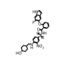 O=C(NS(=O)(=O)c1ccc(NCC2CCC(O)CC2)c([N+](=O)[O-])c1)c1ccccc1Oc1cc2cc[nH]c2cc1F